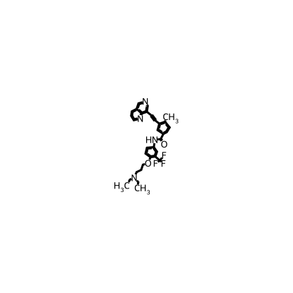 CCN(CC)CCCOc1ccc(NC(=O)c2ccc(C)c(C#Cc3cncc4cccnc34)c2)cc1C(F)(F)F